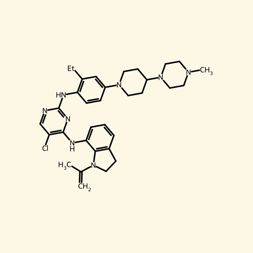 C=C(C)N1CCc2cccc(Nc3nc(Nc4ccc(N5CCC(N6CCN(C)CC6)CC5)cc4CC)ncc3Cl)c21